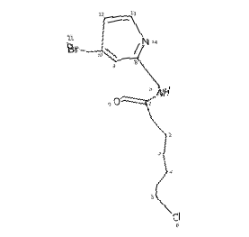 O=C(CCCCCl)Nc1cc(Br)ccn1